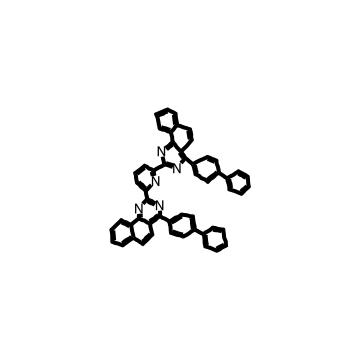 c1ccc(-c2ccc(-c3nc(-c4cccc(-c5nc(-c6ccc(-c7ccccc7)cc6)c6ccc7ccccc7c6n5)n4)nc4c3ccc3ccccc34)cc2)cc1